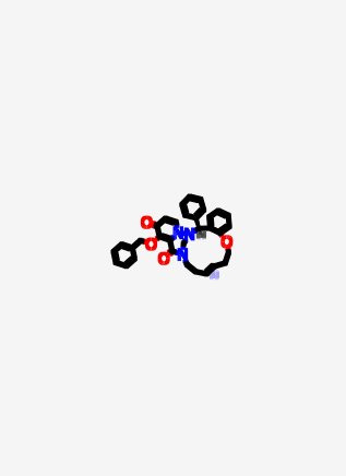 O=C1c2c(OCc3ccccc3)c(=O)ccn2N2CN1CC/C=C/CCOc1ccccc1[C@@H]2c1ccccc1